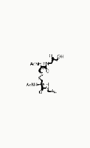 CC(=O)CNC(=O)[C@H](CSSC[C@H](NC(C)=O)C(=O)NCC(=O)CO)NC(C)=O